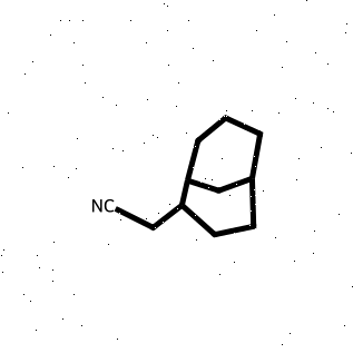 N#CCC1CCC2CCCC1C2